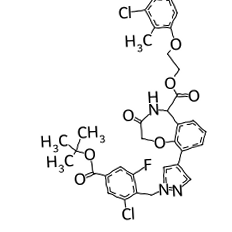 Cc1c(Cl)cccc1OCCOC(=O)C1NC(=O)COc2c(-c3cnn(Cc4c(F)cc(C(=O)OC(C)(C)C)cc4Cl)c3)cccc21